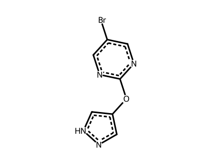 Brc1cnc(Oc2cn[nH]c2)nc1